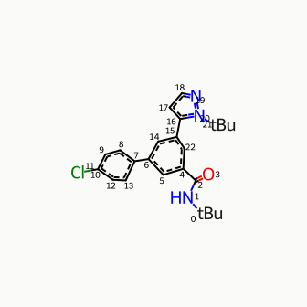 CC(C)(C)NC(=O)c1cc(-c2ccc(Cl)cc2)cc(-c2ccnn2C(C)(C)C)c1